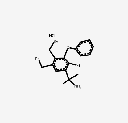 CCc1c(C(C)(C)N)cc(CC(C)C)c(CC(C)C)c1Oc1ccccc1.Cl